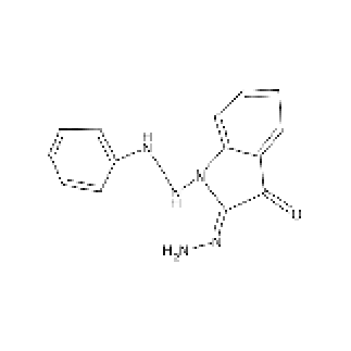 NN=C1C(=O)c2ccccc2N1NNc1ccccc1